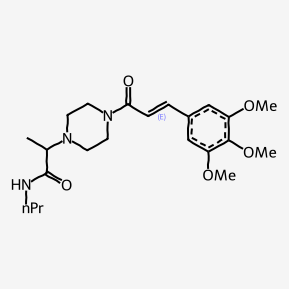 CCCNC(=O)C(C)N1CCN(C(=O)/C=C/c2cc(OC)c(OC)c(OC)c2)CC1